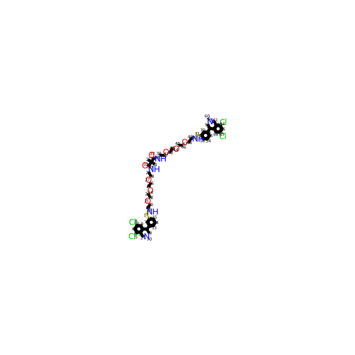 CN1Cc2c(Cl)cc(Cl)cc2C(c2cccc(SNCCOCCOCCOCCNC(=O)C(C)(C)C(=O)NCCOCCOCCOCCNSc3cccc(C4CN(C)Cc5c(Cl)cc(Cl)cc54)c3)c2)C1